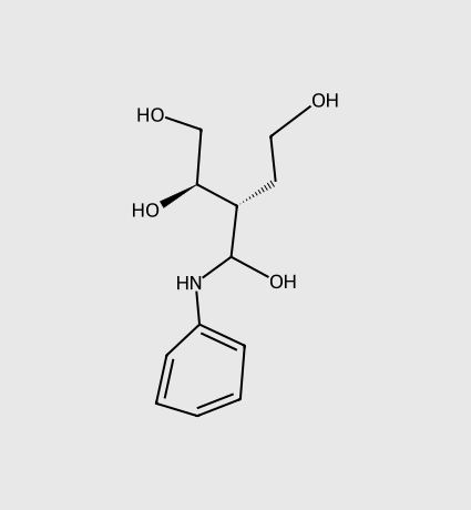 OCC[C@H](C(O)Nc1ccccc1)[C@@H](O)CO